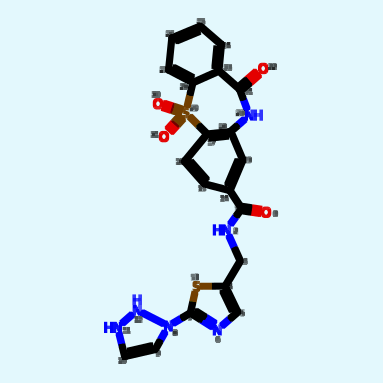 O=C(NCc1cnc(N2C=CNN2)s1)c1ccc2c(c1)NC(=O)c1ccccc1S2(=O)=O